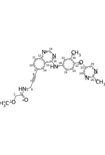 COCC(=O)NCC#Cc1ccc2ncnc(Nc3ccc(Oc4cnc(C)nc4)c(C)c3)c2c1